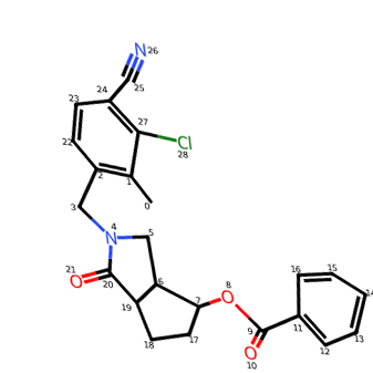 Cc1c(CN2CC3C(OC(=O)c4ccccc4)CCC3C2=O)ccc(C#N)c1Cl